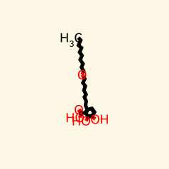 CCCCCCCCCCOCCCCCCCCc1ccc(O)c(O)c1C(=O)O